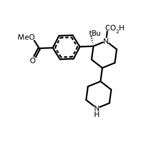 COC(=O)c1ccc([C@]2(C(C)(C)C)CC(C3CCNCC3)CCN2C(=O)O)cc1